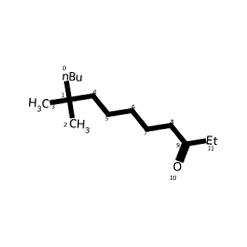 CCCCC(C)(C)CCCCCC(=O)CC